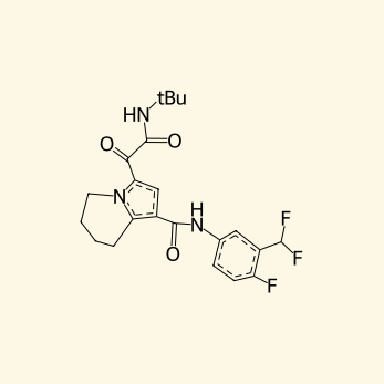 CC(C)(C)NC(=O)C(=O)c1cc(C(=O)Nc2ccc(F)c(C(F)F)c2)c2n1CCCC2